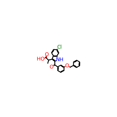 CC(C(=O)O)c1c(C(=O)c2cccc(OCc3ccccc3)c2)[nH]c2cc(Cl)ccc12